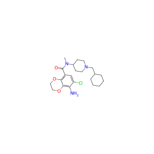 CN(C(=O)c1cc(Cl)c(N)c2c1OCCO2)C1CCN(CC2CCCCC2)CC1